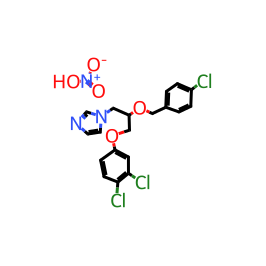 Clc1ccc(COC(COc2ccc(Cl)c(Cl)c2)Cn2ccnc2)cc1.O=[N+]([O-])O